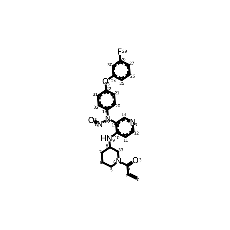 C=CC(=O)N1CCCC(Nc2ccncc2N(N=O)c2ccc(Oc3cccc(F)c3)cc2)C1